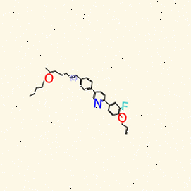 C=CCOc1ccc(-c2ccc(-c3ccc(/C=C/CCCC(C)OCCCCC)cc3)cn2)cc1F